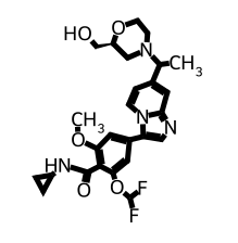 COc1cc(-c2cnc3cc(C(C)N4CCO[C@H](CO)C4)ccn23)cc(OC(F)F)c1C(=O)NC1CC1